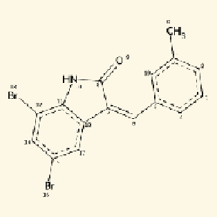 Cc1cccc(C=C2C(=O)Nc3c(Br)cc(Br)cc32)c1